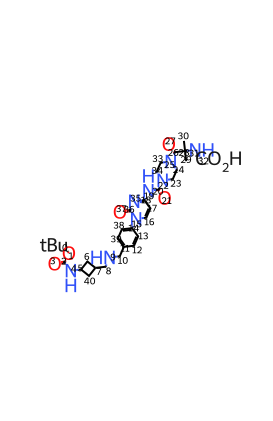 CC(C)(C)OC(=O)NC1CC(CNCc2ccc(-n3ccc(NC(=O)N4CCN(C(=O)C(C)(C)NC(=O)O)CC4)nc3=O)cc2)C1